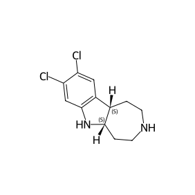 Clc1cc2c(cc1Cl)[C@@H]1CCNCC[C@@H]1N2